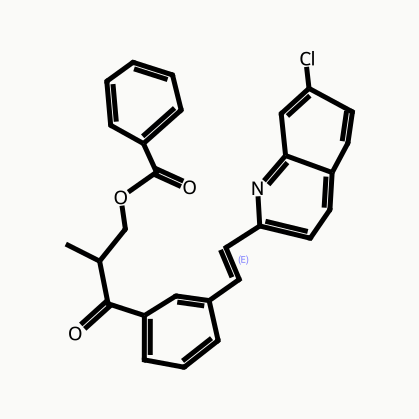 CC(COC(=O)c1ccccc1)C(=O)c1cccc(/C=C/c2ccc3ccc(Cl)cc3n2)c1